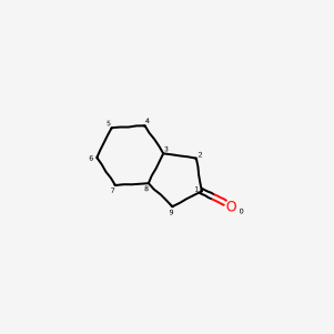 O=C1CC2CCCCC2C1